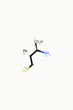 N[C@@H](CCS)C(=O)O.[Pb]